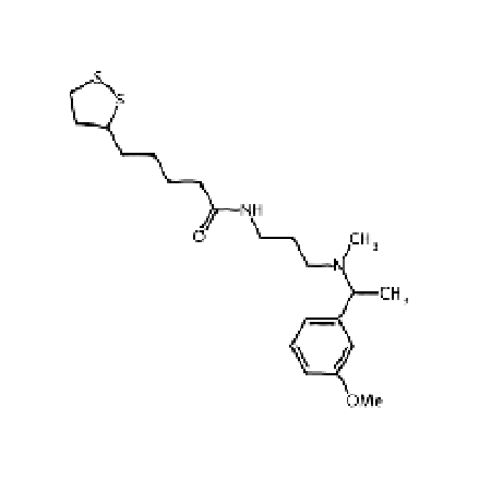 COc1cccc(C(C)N(C)CCCNC(=O)CCCCC2CCSS2)c1